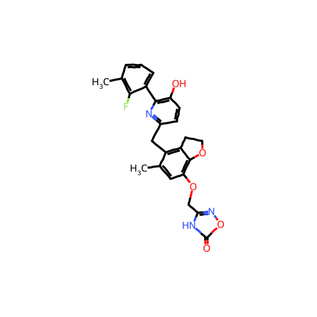 Cc1cccc(-c2nc(Cc3c(C)cc(OCc4noc(=O)[nH]4)c4c3CCO4)ccc2O)c1F